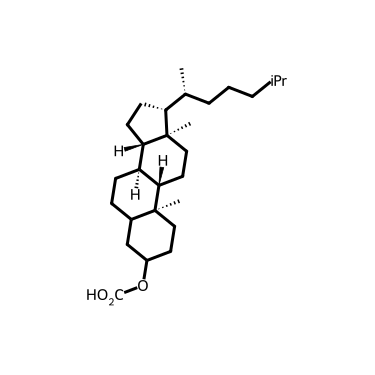 CC(C)CCC[C@@H](C)[C@H]1CC[C@H]2[C@@H]3CCC4CC(OC(=O)O)CC[C@]4(C)[C@H]3CC[C@]12C